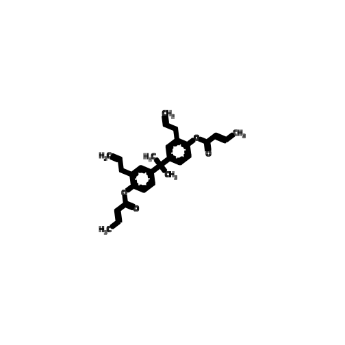 C=CCc1cc(C(C)(C)c2ccc(OC(=O)C=CC)c(CC=C)c2)ccc1OC(=O)C=CC